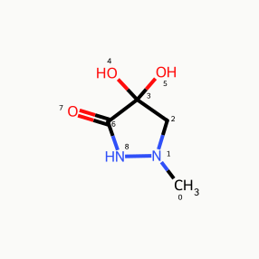 CN1CC(O)(O)C(=O)N1